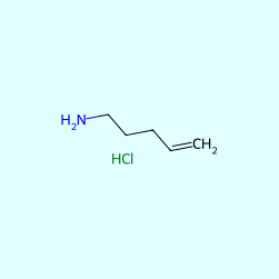 C=CCCCN.Cl